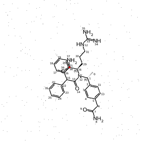 C[C@H](c1ccc(CC(N)=O)cc1)N(C(=O)C(c1ccccc1)c1ccccc1)[C@H](CCCNC(=N)N)C(N)=O